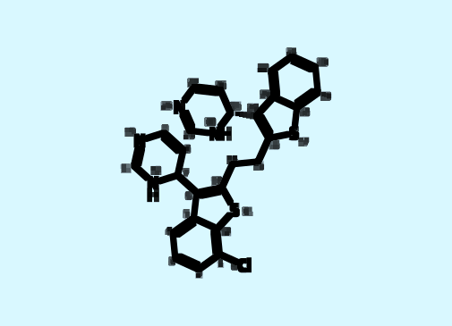 Clc1cccc2c(C3C=CN=CN3)c(CCc3sc4ccccc4c3[C@H]3C=CN=CN3)sc12